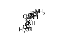 CC(Cl)(Cl)CC(=O)Nc1ccc(Cl)c(C(=O)Nc2ccc(N)cc2F)c1